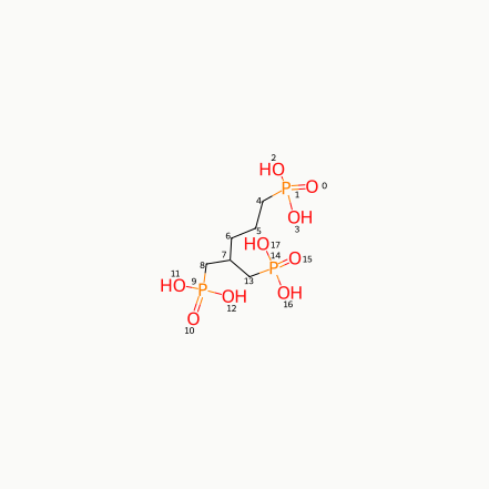 O=P(O)(O)CCCC(CP(=O)(O)O)CP(=O)(O)O